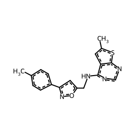 Cc1ccc(-c2cc(CNc3ncnc4sc(C)cc34)on2)cc1